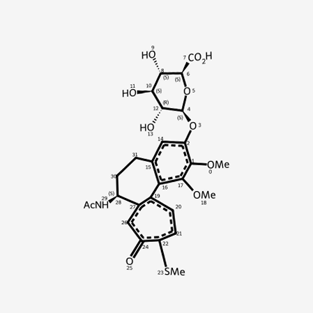 COc1c(O[C@@H]2O[C@H](C(=O)O)[C@@H](O)[C@H](O)[C@H]2O)cc2c(c1OC)-c1ccc(SC)c(=O)cc1[C@@H](NC(C)=O)CC2